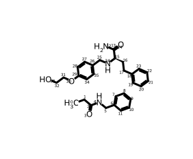 CCC(=O)NCc1cc[c]cc1.NC(=O)[C@@H](CCc1ccccc1)NCc1ccc(OCCO)cc1